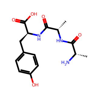 C[C@H](N)C(=O)N[C@@H](C)C(=O)N[C@@H](Cc1ccc(O)cc1)C(=O)O